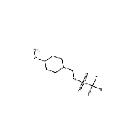 COC1CCC(COS(=O)(=O)C(F)(F)F)CC1